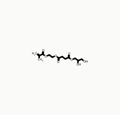 C=C(C)C(=O)OCCOC(=O)CCC(=O)OCC(O)CO